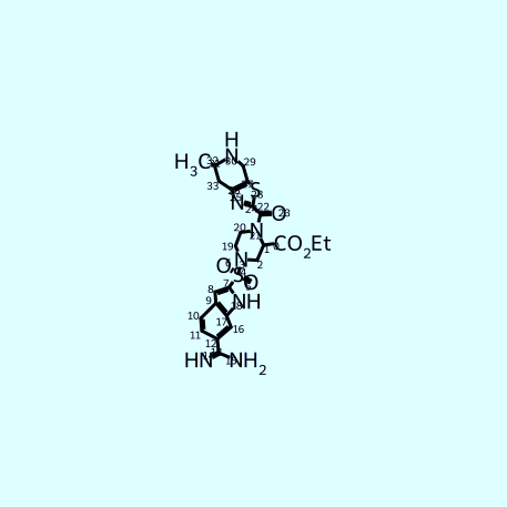 CCOC(=O)C1CN(S(=O)(=O)c2cc3ccc(C(=N)N)cc3[nH]2)CCN1C(=O)c1nc2c(s1)CNC(C)C2